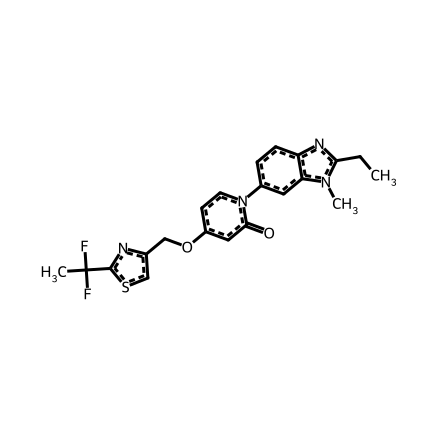 CCc1nc2ccc(-n3ccc(OCc4csc(C(C)(F)F)n4)cc3=O)cc2n1C